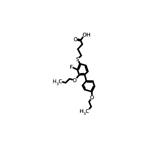 CCCOc1ccc(-c2ccc(SCCCC(=O)O)c(F)c2OCCC)cc1